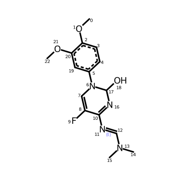 COc1ccc(N2C=C(F)C(/N=C/N(C)C)=NC2O)cc1OC